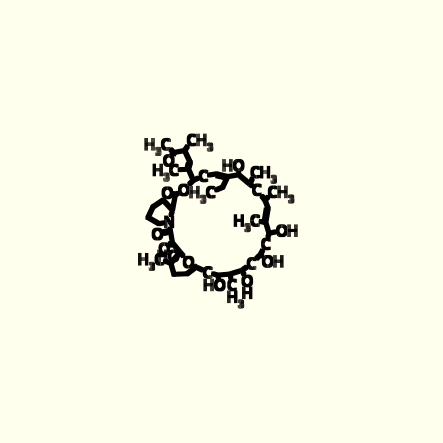 CC/C1=C\CC(/C(C)=C/C(C)C(C)=O)OC(=O)C2CCCCN2C(=O)C(=O)C2(O)OC(CCC2C)CC(O)C(C)C(O)CC(O)CC(O)/C(C)=C/C(C)CC(C)C1O